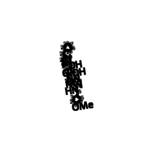 COc1ccc(CNc2ncnc3c2ncn3[C@@H]2O[C@H](Cn3cc(Cc4ccccc4)nn3)[C@@H](O)[C@H]2O)cc1